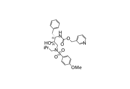 COc1ccc(S(=O)(=O)N(CC(C)C)C[C@@H](O)[C@H](Cc2ccccc2)NC(=O)OCc2cccnc2)cc1